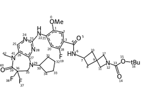 COc1cc(C(=O)NC2CC3(C2)CN(C(=O)OC(C)(C)C)C3)c(F)cc1Nc1ncc2c(n1)N(C1CCCC1)CC(F)(F)C(=O)N2C